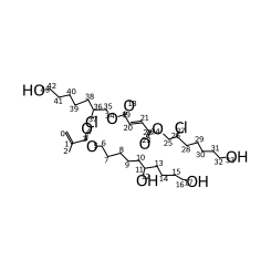 C=C(C)C(=O)OCCCCCC(O)CCCCO.O=C(C=CC(=O)OCC(Cl)CCCCCO)OCC(Cl)CCCCCO